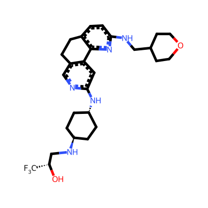 O[C@@H](CN[C@H]1CC[C@H](Nc2cc3c(cn2)CCc2ccc(NCC4CCOCC4)nc2-3)CC1)C(F)(F)F